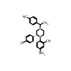 Bc1ccc(N2CCN(C(C)c3ccc(C#N)cc3)C[C@H]2c2ccc(Cl)cc2)c(C#N)c1